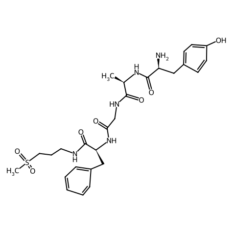 C[C@@H](NC(=O)[C@@H](N)Cc1ccc(O)cc1)C(=O)NCC(=O)N[C@@H](Cc1ccccc1)C(=O)NCCCS(C)(=O)=O